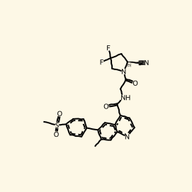 Cc1cc2nccc(C(=O)NCC(=O)N3CC(F)(F)C[C@H]3C#N)c2cc1-c1ccc(S(C)(=O)=O)cc1